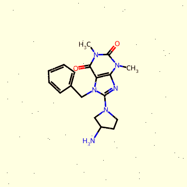 Cn1c(=O)c2c(nc(N3CCC(N)C3)n2Cc2ccccc2)n(C)c1=O